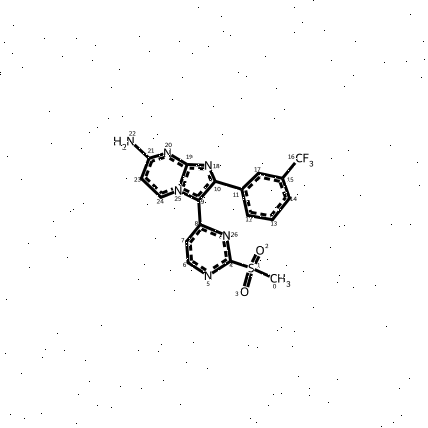 CS(=O)(=O)c1nccc(-c2c(-c3cccc(C(F)(F)F)c3)nc3nc(N)ccn23)n1